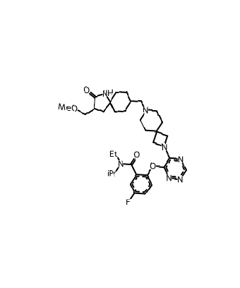 CCN(C(=O)c1cc(F)ccc1Oc1nncnc1N1CC2(CCN(CC3CCC4(CC3)CC(COC)C(=O)N4)CC2)C1)C(C)C